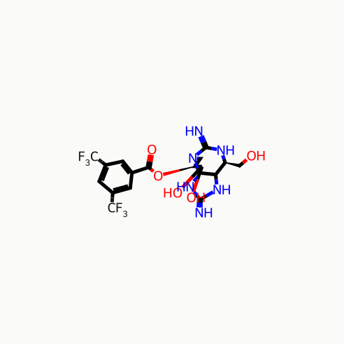 N=C1NC2[C@H](CO)NC(=N)N3C[C@H](OC(=O)c4cc(C(F)(F)F)cc(C(F)(F)F)c4)C(O)(O)[C@]23N1